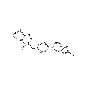 Cn1cc2cc(-c3ccc(Cn4cnc5ncccc5c4=O)c(F)c3)ccc2n1